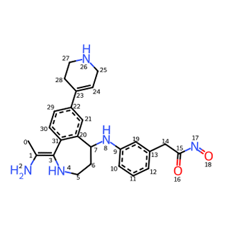 C/C(N)=C1/NCCC(Nc2cccc(CC(=O)N=O)c2)c2cc(C3=CCNCC3)ccc21